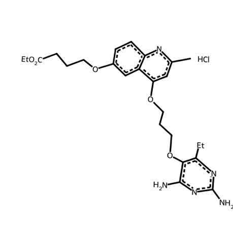 CCOC(=O)CCCOc1ccc2nc(C)cc(OCCCOc3c(N)nc(N)nc3CC)c2c1.Cl